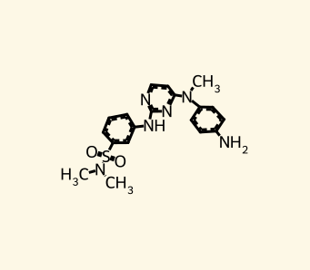 CN(c1ccc(N)cc1)c1ccnc(Nc2cccc(S(=O)(=O)N(C)C)c2)n1